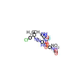 CC1(C)CCC(CN2CCN(c3ccc(C(=O)NS(=O)(=O)c4ccc(NC[C@H]5COCCO5)c([N+](=O)[O-])c4)c(N4CCC(F)(F)Oc5nc6[nH]ccc6cc54)c3)CC2)=C(c2ccc(Cl)cc2)C1